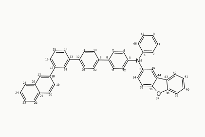 c1ccc(N(c2ccc(-c3ccc(-c4cccc(-c5ccc6ccccc6c5)c4)cc3)cc2)c2ccc3oc4ccccc4c3c2)cc1